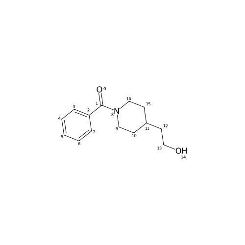 O=C(c1ccccc1)N1CCC(CCO)CC1